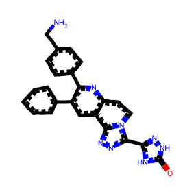 NCc1ccc(-c2nc3ccn4c(-c5n[nH]c(=O)[nH]5)nnc4c3cc2-c2ccccc2)cc1